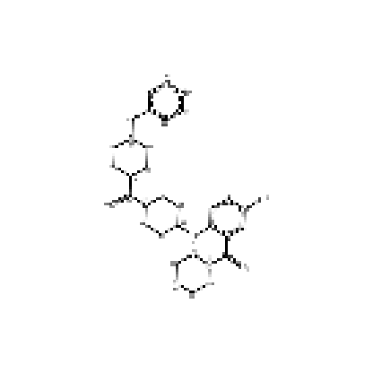 O=C(c1cc(F)ccc1OC1CCN(C(=O)C2CCN(Cc3ccnnc3)CC2)CC1)N1CCOCC1